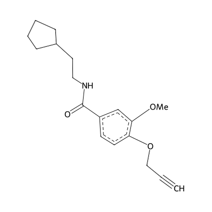 C#CCOc1ccc(C(=O)NCCC2CCCC2)cc1OC